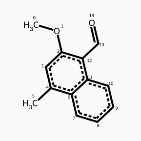 COc1cc(C)c2ccccc2c1C=O